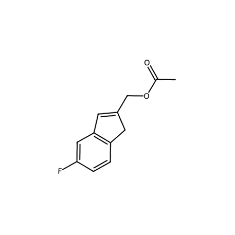 CC(=O)OCC1=Cc2cc(F)ccc2C1